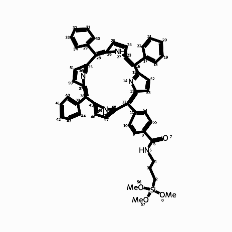 CO[Si](CCCNC(=O)c1ccc(-c2c3nc(c(-c4ccccc4)c4ccc([nH]4)c(-c4ccccc4)c4nc(c(-c5ccccc5)c5ccc2[nH]5)C=C4)C=C3)cc1)(OC)OC